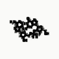 Nc1nc2c(ncn2[C@@H]2O[C@H](CO)[C@@H](F)[C@H]2OP(O)(=S)OCC2O[C@@H](n3cnc4c(N)ncnc43)C[C@@H]2O)c(=O)[nH]1